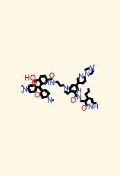 CCCc1cc(C)[nH]c(=O)c1CNC(=O)c1cc(-c2ccc(N3CCN(C)CC3)nc2)cc2c1ccn2CCCNC(=O)c1ccc(C(=O)O)c(-c2c3cc/c(=N\C)cc-3oc3cc(N(C)C)ccc23)c1